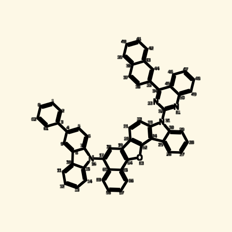 c1ccc(-c2ccc3c(c2)c2ccccc2n3-c2cc3c4ccc5c(c6ccccc6n5-c5nc(-c6ccc7ccccc7c6)c6ccccc6n5)c4oc3c3ccccc23)cc1